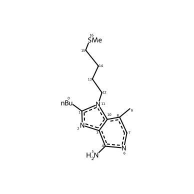 CCCCc1nc2c(N)ncc(C)c2n1CCCCSC